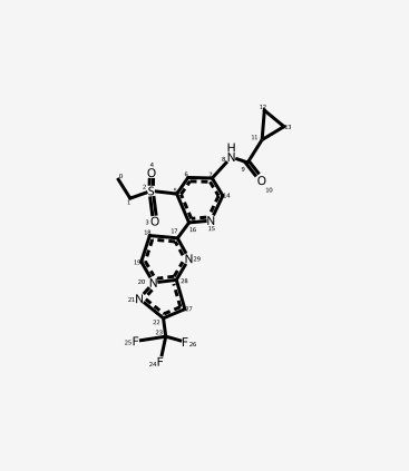 CCS(=O)(=O)c1cc(NC(=O)C2CC2)cnc1-c1ccn2nc(C(F)(F)F)cc2n1